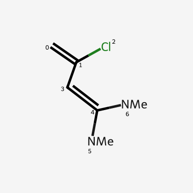 C=C(Cl)C=C(NC)NC